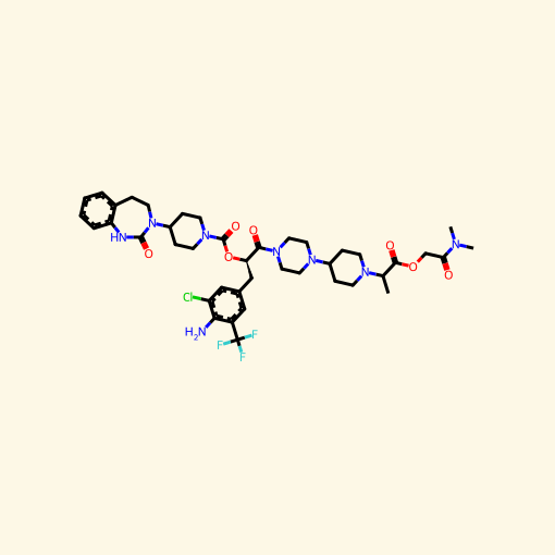 CC(C(=O)OCC(=O)N(C)C)N1CCC(N2CCN(C(=O)[C@@H](Cc3cc(Cl)c(N)c(C(F)(F)F)c3)OC(=O)N3CCC(N4CCc5ccccc5NC4=O)CC3)CC2)CC1